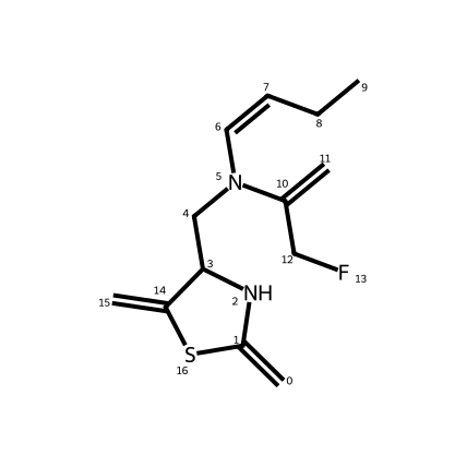 C=C1NC(CN(/C=C\CC)C(=C)CF)C(=C)S1